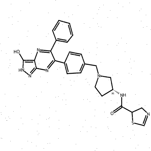 O=C(N[C@@H]1CCN(Cc2ccc(-c3nc4n[nH]c(O)c4nc3-c3ccccc3)cc2)C1)C1CN=CS1